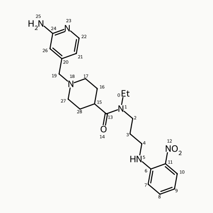 CCN(CCCNc1ccccc1[N+](=O)[O-])C(=O)C1CCN(Cc2ccnc(N)c2)CC1